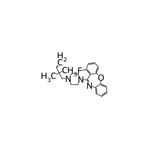 C=CC(C)(C)CN1CCN(C2=Nc3ccccc3Oc3cccc(F)c32)CC1